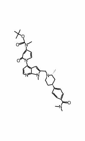 C[C@@H]1C[C@@H](c2ccc(C(=O)N(C)C)cc2)CCN1Cc1cc2c(-n3ccc(N(C)C(=O)OC(C)(C)C)cc3=O)ccnc2n1C